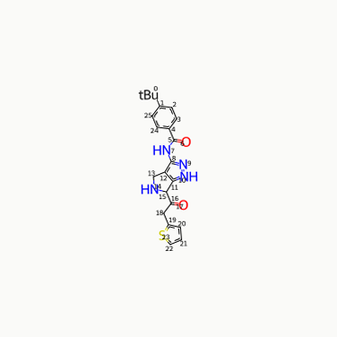 CC(C)(C)c1ccc(C(=O)Nc2n[nH]c3c2CNC3C(=O)Cc2cccs2)cc1